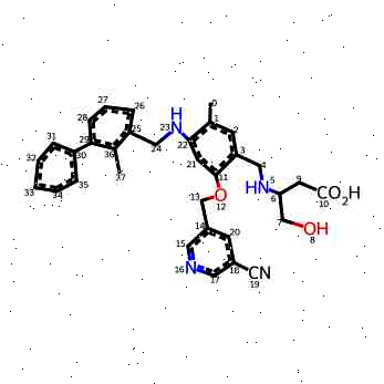 Cc1cc(CNC(CO)CC(=O)O)c(OCc2cncc(C#N)c2)cc1NCc1cccc(-c2ccccc2)c1C